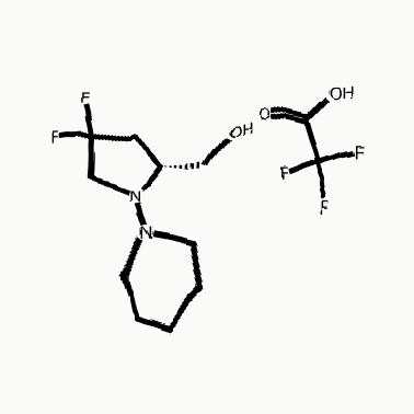 O=C(O)C(F)(F)F.OC[C@H]1CC(F)(F)CN1N1CCCCC1